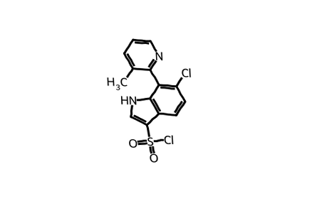 Cc1cccnc1-c1c(Cl)ccc2c(S(=O)(=O)Cl)c[nH]c12